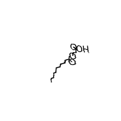 CCCCCCCCCCC(COCCC(=O)O)OC